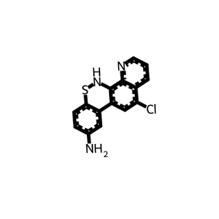 Nc1ccc2c(c1)-c1cc(Cl)c3cccnc3c1NS2